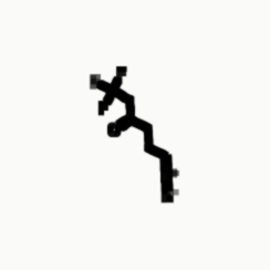 [N-]=[N+]=CCCC(=O)CC(F)(F)F